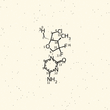 [3H]C[C@@]1(CCl)O[C@@H](n2ccc(N)nc2=O)C(F)(F)[C@@H]1C